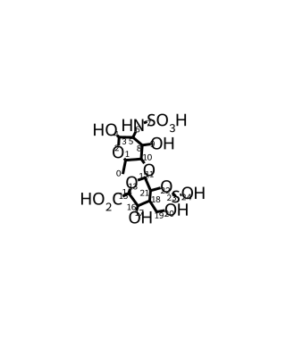 CC1OC(O)C(NS(=O)(=O)O)C(O)C1OC1OC(C(=O)O)C(O)C(CO)C1OSO